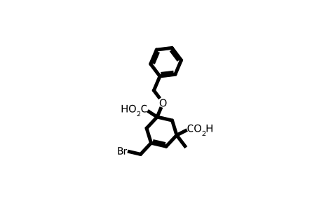 CC1(C(=O)O)C=C(CBr)CC(OCc2ccccc2)(C(=O)O)C1